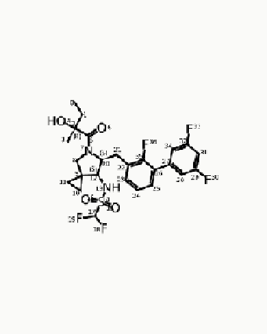 CC[C@@](C)(O)C(=O)N1CC2(CC2)[C@H](NS(=O)(=O)C(F)F)[C@@H]1Cc1cccc(-c2cc(F)cc(F)c2)c1F